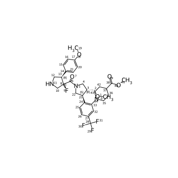 COC[C@H]1CN(C(=O)[C@]2(F)CNC[C@H]2c2ccc(OC)cc2)C[C@@H]1c1ccc(C(F)(F)F)cc1N1CCC(C(=O)OC)CC1